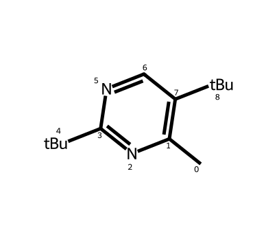 Cc1nc(C(C)(C)C)ncc1C(C)(C)C